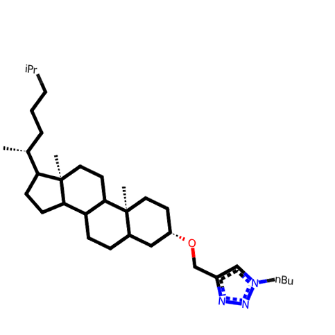 CCCCn1cc(CO[C@H]2CC[C@@]3(C)C(CCC4C3CC[C@@]3(C)C4CCC3[C@H](C)CCCC(C)C)C2)nn1